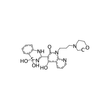 O=c1c(C2=NS(O)(O)c3ccccc3N2)c(O)c2cccnc2n1CCCN1CCOCC1